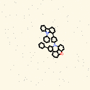 c1ccc(-c2cccc(N(c3ccc(-c4cccc5c6ccccc6n(-c6ccccc6)c45)cc3)c3cccc4oc5ccccc5c34)c2)cc1